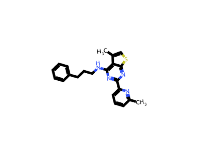 Cc1cccc(-c2nc(NCCCc3ccccc3)c3c(C)csc3n2)n1